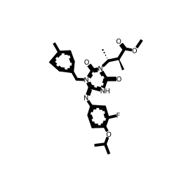 COC(=O)[C@@H](C)[C@@H](C)n1c(=O)[nH]/c(=N\c2ccc(OC(C)C)c(F)c2)n(Cc2ccc(C)cc2)c1=O